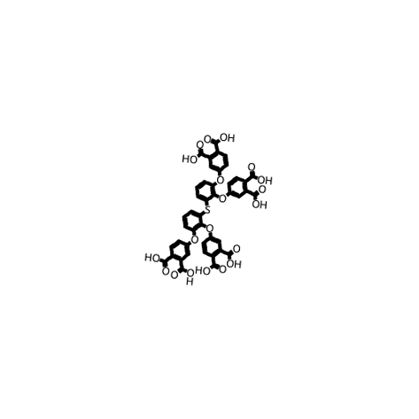 O=C(O)c1ccc(Oc2cccc(Sc3cccc(Oc4ccc(C(=O)O)c(C(=O)O)c4)c3Oc3ccc(C(=O)O)c(C(=O)O)c3)c2Oc2ccc(C(=O)O)c(C(=O)O)c2)cc1C(=O)O